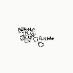 CCCCc1nc(=O)c(S(=O)(=O)c2ccc(-c3ccccc3C(=O)NC)cc2)c(O)n1C(CC)c1cccc(C#N)n1